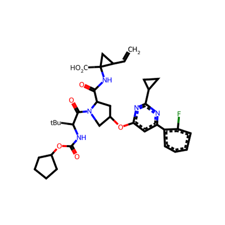 C=CC1CC1(NC(=O)C1CC(Oc2cc(-c3ccccc3F)nc(C3CC3)n2)CN1C(=O)C(NC(=O)OC1CCCC1)C(C)(C)C)C(=O)O